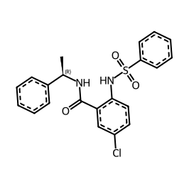 C[C@@H](NC(=O)c1cc(Cl)ccc1NS(=O)(=O)c1ccccc1)c1ccccc1